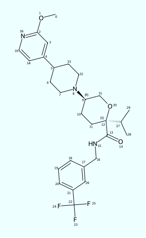 COc1cc(C2CCN([C@@H]3CC[C@@](C(=O)NCc4cccc(C(F)(F)F)c4)(C(C)C)OC3)CC2)ccn1